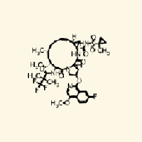 CC[C@@H]1C[C@H](C)CC/C=C\[C@@H]2C[C@@]2(C(=O)NS(=O)(=O)C2(C)CC2)NC(=O)[C@@H]2C[C@@H](Oc3ncc(OC)c4ccc(F)cc34)CN2C(=O)[C@H]1NC(=O)C(C)(C)C(F)(F)F